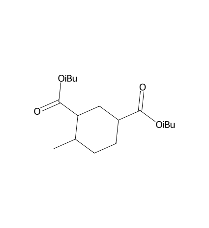 CC(C)COC(=O)C1CCC(C)C(C(=O)OCC(C)C)C1